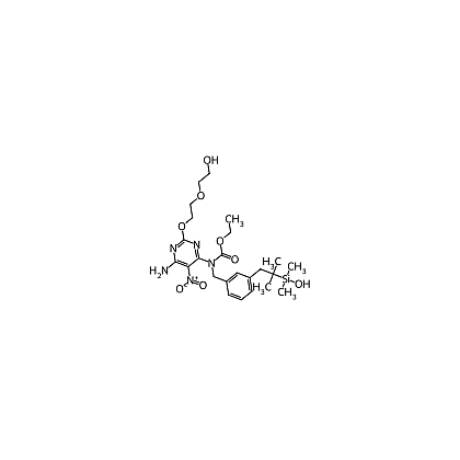 CCOC(=O)N(Cc1cccc(CC(C)(C)[Si](C)(C)O)c1)c1nc(OCCOCCO)nc(N)c1[N+](=O)[O-]